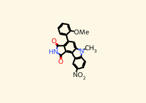 COc1ccccc1-c1cc2c(c3c1C(=O)NC3=O)c1cc([N+](=O)[O-])ccc1n2C